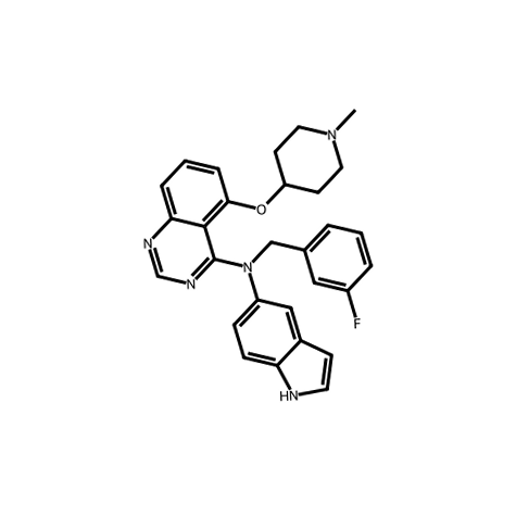 CN1CCC(Oc2cccc3ncnc(N(Cc4cccc(F)c4)c4ccc5[nH]ccc5c4)c23)CC1